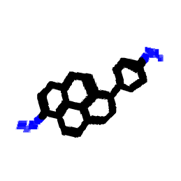 NC1=CCC2=CC=C3C(c4ccc(N)cc4)=CC=C4C=CC1=C2C43